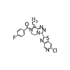 C[C@@H]1c2nnc(-c3nc4cnc(Cl)cc4s3)n2CCN1C(=O)c1ccc(F)cc1